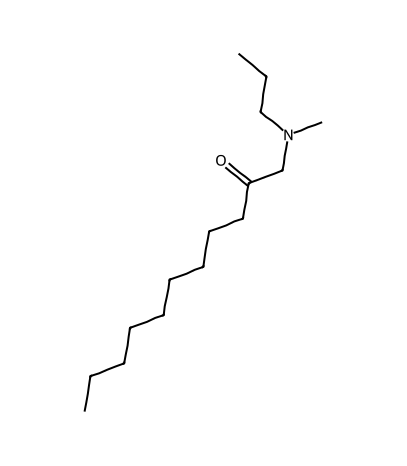 CCCCCCCCCC(=O)CN(C)CCC